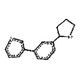 [c]1cncc(-c2cccc(C3CCCN3)c2)c1